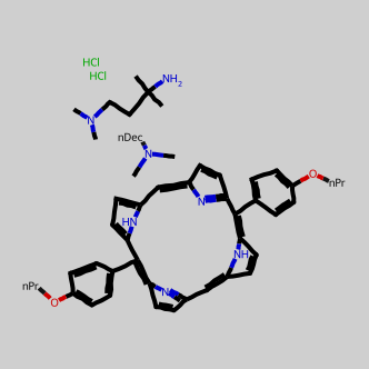 CCCCCCCCCCN(C)C.CCCOc1ccc(-c2c3nc(cc4ccc([nH]4)c(-c4ccc(OCCC)cc4)c4nc(cc5ccc2[nH]5)C=C4)C=C3)cc1.CN(C)CCC(C)(C)N.Cl.Cl